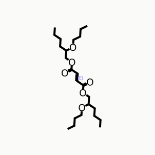 CCCCOC(CCCC)COC(=O)/C=C/C(=O)OCC(CCCC)OCCCC